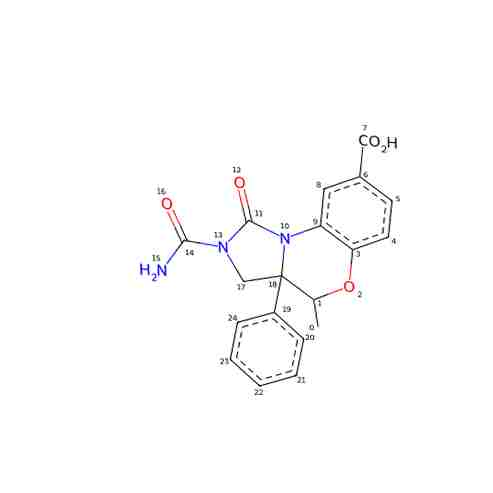 CC1Oc2ccc(C(=O)O)cc2N2C(=O)N(C(N)=O)CC12c1ccccc1